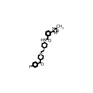 Cc1nc(-c2cccc(C(=O)N[C@H]3CC[C@H](CCN4CCC(C(=O)c5ccc(F)cc5)CC4)CC3)c2)no1